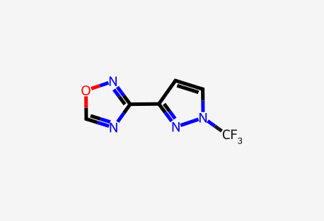 FC(F)(F)n1ccc(-c2ncon2)n1